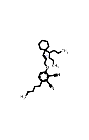 CCCCCc1ccc(OC/C=C/C2(C(CCC)CCC)CCCCC2)c(C#N)c1C#N